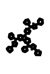 c1ccc(-c2ccc(N(c3ccccc3)c3ccc(-n4c5ccc(N(c6ccccc6)c6ccc(-c7ccccc7)s6)cc5c5cc(N(c6ccccc6)c6ccc(-c7ccccc7)s6)ccc54)cc3)s2)cc1